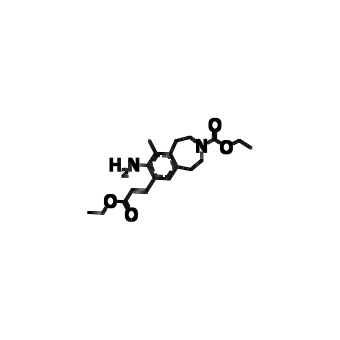 CCOC(=O)/C=C/c1cc2c(c(C)c1N)CCN(C(=O)OCC)CC2